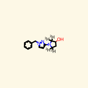 [2H]C1([2H])C[C@H](O)C([2H])([2H])N1c1ccn(Cc2ccccc2)n1